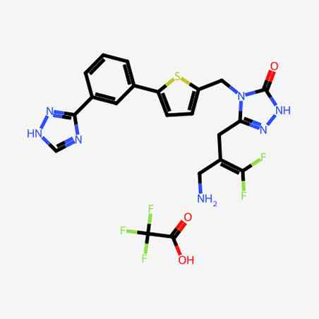 NCC(Cc1n[nH]c(=O)n1Cc1ccc(-c2cccc(-c3nc[nH]n3)c2)s1)=C(F)F.O=C(O)C(F)(F)F